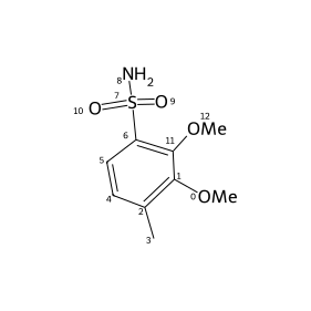 COc1c(C)ccc(S(N)(=O)=O)c1OC